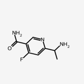 CC(N)c1cc(F)c(C(N)=O)cn1